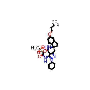 CS(=O)(=O)CC(=O)Nc1c2c(nn1C1CCCCC1)C[C@]1(CCc3cc(OCCCC(F)(F)F)ccc31)NC2=O